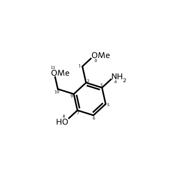 COCc1c(N)ccc(O)c1COC